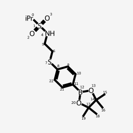 CC(C)S(=O)(=O)NCCSc1ccc(B2OC(C)(C)C(C)(C)O2)cc1